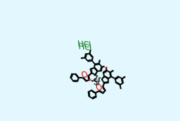 Cc1cc(C)cc(-c2c(C)c(C)cc3c2C=C(c2ccc(-c4ccccc4)o2)[CH]3[Zr]([CH]2C(c3ccc(-c4ccccc4)o3)=Cc3c2cc(C)c(C)c3-c2cc(C)cc(C)c2)=[Si](C)C)c1.Cl.Cl